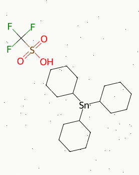 C1CC[CH]([Sn]([CH]2CCCCC2)[CH]2CCCCC2)CC1.O=S(=O)(O)C(F)(F)F